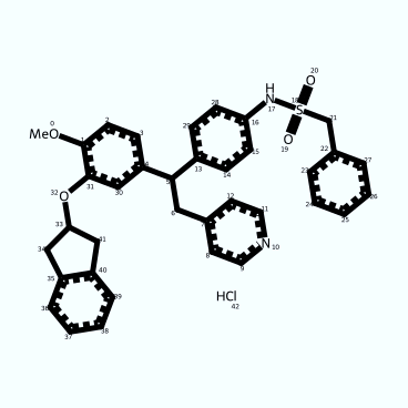 COc1ccc(C(Cc2ccncc2)c2ccc(NS(=O)(=O)Cc3ccccc3)cc2)cc1OC1Cc2ccccc2C1.Cl